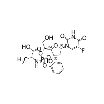 CC(N[P@](=O)(Oc1ccccc1)OC(CO)[C@H]1O[C@@H](n2cc(F)c(=O)[nH]c2=O)C[C@@H]1O)C(=O)O